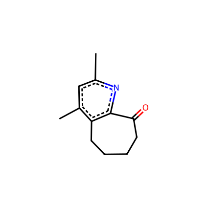 Cc1cc(C)c2c(n1)C(=O)CCCC2